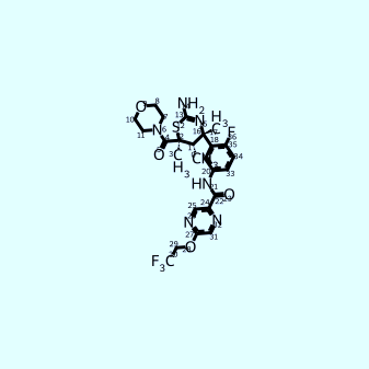 C[C@@H]1[C@@](C)(C(=O)N2CCOCC2)SC(N)=N[C@]1(C)c1cc(NC(=O)c2cnc(OCC(F)(F)F)cn2)ccc1F